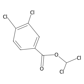 O=C(OC(Cl)Cl)c1ccc(Cl)c(Cl)c1